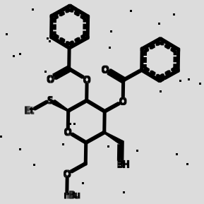 B=C[C@H]1C(COCCCC)O[C@@H](SCC)C(OC(=O)c2ccccc2)C1OC(=O)c1ccccc1